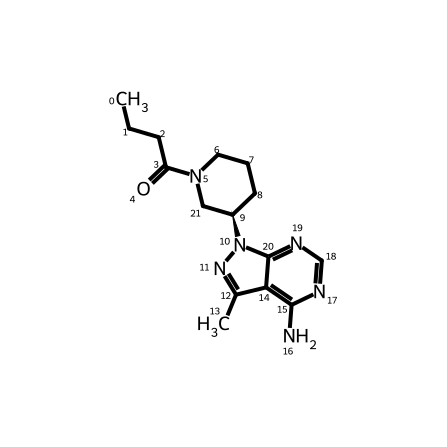 CCCC(=O)N1CCC[C@@H](n2nc(C)c3c(N)ncnc32)C1